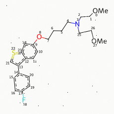 COCCN(CCCCOc1ccc2c(-c3ccc(F)cc3)csc2c1)CCOC